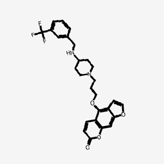 O=c1ccc2c(OCCCN3CCC(NCc4cccc(C(F)(F)F)c4)CC3)c3ccoc3cc2o1